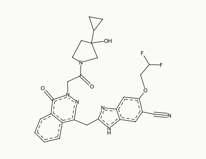 N#Cc1cc2[nH]c(Cc3nn(CC(=O)N4CCC(O)(C5CC5)C4)c(=O)c4ccccc34)nc2cc1OCC(F)F